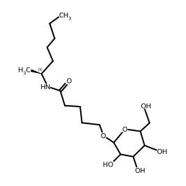 CCCCC[C@H](C)NC(=O)CCCCOC1OC(CO)C(O)C(O)C1O